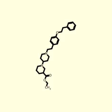 CCOC(=O)C1CCCN(C2CCN(CCc3ccc(OCCc4ccccc4)cc3)CC2)C1